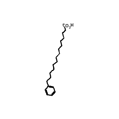 O=C(O)CCCCCCCCCCCCCCc1ccccc1